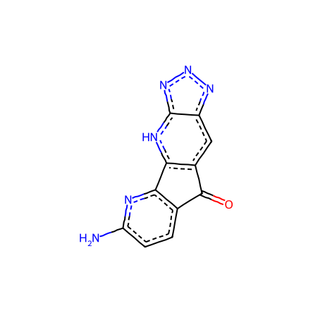 Nc1ccc2c(n1)-c1[nH]c3nnnc-3cc1C2=O